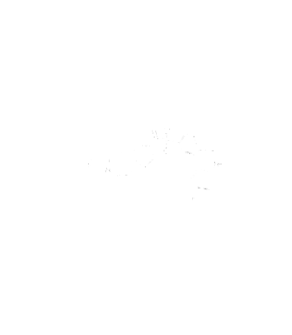 CN(C)CN1CCc2ccc(NS(=O)(=O)c3ccc(CN(C)c4ccc(F)cc4)cc3)cc2CC1